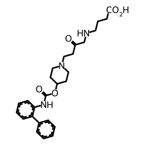 O=C(O)CCCNCC(=O)CCN1CCC(OC(=O)Nc2ccccc2-c2ccccc2)CC1